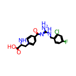 N/C(=N\C(=O)c1ccc(C[C@H](N)C(=O)O)cc1)NCc1ccc(F)cc1Cl